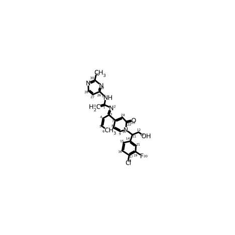 C=C(/N=C(\C=C/C)c1ccn(C(CO)c2ccc(Cl)c(F)c2)c(=O)c1)Nc1ccnc(C)n1